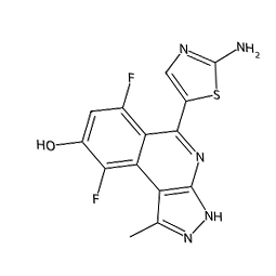 Cc1n[nH]c2nc(-c3cnc(N)s3)c3c(F)cc(O)c(F)c3c12